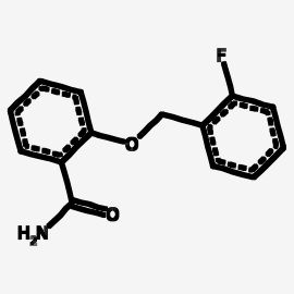 NC(=O)c1ccccc1OCc1ccccc1F